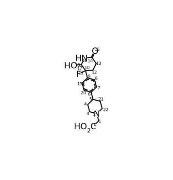 O=C(O)CN1CCC(c2ccc(C3(F)CCC(=O)NC3O)cc2)CC1